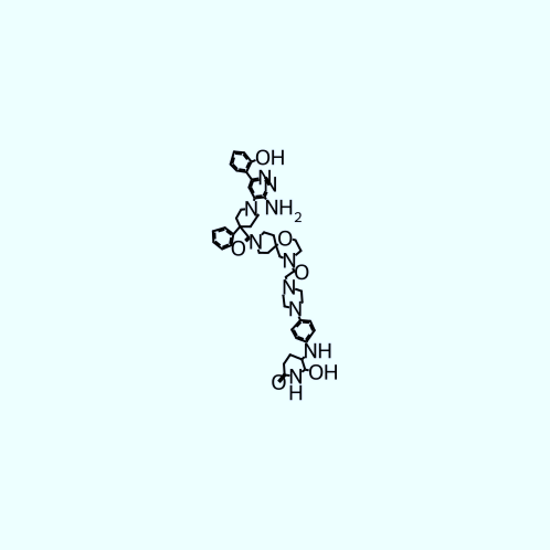 Nc1nnc(-c2ccccc2O)cc1N1CCC(C(=O)N2CCC3(CC2)CN(C(=O)CN2CCN(c4ccc(NC5CCC(=O)NC5O)cc4)CC2)CCO3)(c2ccccc2)CC1